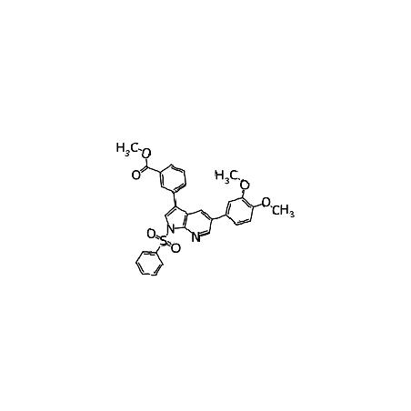 COC(=O)c1cccc(-c2cn(S(=O)(=O)c3ccccc3)c3ncc(-c4ccc(OC)c(OC)c4)cc23)c1